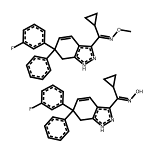 CO/N=C(/c1n[nH]c2c1C=CC(c1ccccc1)(c1cccc(F)c1)C2)C1CC1.O/N=C(/c1n[nH]c2c1C=CC(c1ccccc1)(c1cccc(F)c1)C2)C1CC1